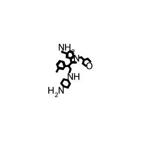 Cc1cccc(C(CCN[C@H]2CC[C@@H](N)CC2)c2cn(CC3CCOCC3)c3ccc(CN)cc23)c1